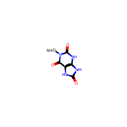 COn1c(=O)[nH]c2[nH]c(=O)[nH]c2c1=O